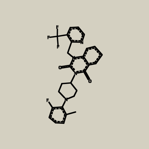 Cc1cccc(F)c1N1CCC(n2c(=O)c3ccccc3n(Cc3ncccc3C(F)(F)F)c2=O)CC1